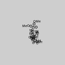 COc1ccc(C(OCc2nc3cncnc3n2CCOP(=S)(OCCC#N)OC[C@H]2O[C@@H](n3nnc4c(=O)[nH]c(NC(=O)C(C)C)nc43)[C@H](O[PH](=O)O)[C@@H]2F)(c2ccccc2)c2ccc(OC)cc2)cc1